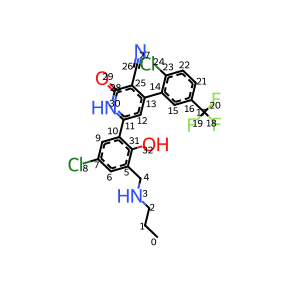 CCCNCc1cc(Cl)cc(-c2cc(-c3cc(C(F)(F)F)ccc3Cl)c(C#N)c(=O)[nH]2)c1O